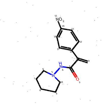 C=C(C(=O)NN1CCCCC1)c1ccc([N+](=O)[O-])cc1